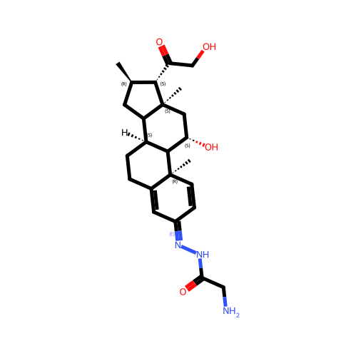 C[C@@H]1CC2[C@@H]3CCC4=C/C(=N/NC(=O)CN)C=C[C@]4(C)C3[C@@H](O)C[C@]2(C)[C@H]1C(=O)CO